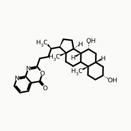 C[C@H](CCc1nc2ncccc2c(=O)o1)[C@H]1CC[C@H]2[C@H]3C(CC[C@]12C)[C@@]1(C)CC[C@@H](O)C[C@H]1C[C@H]3O